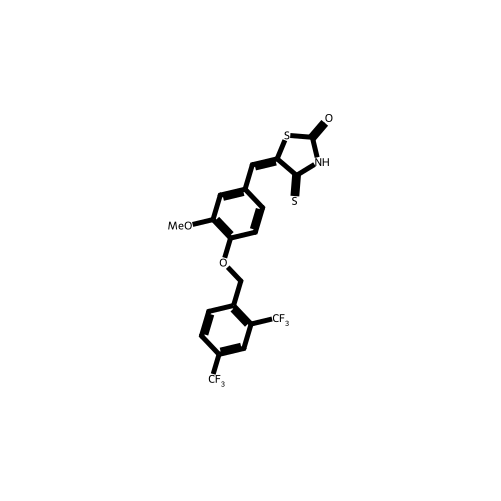 COc1cc(C=C2SC(=O)NC2=S)ccc1OCc1ccc(C(F)(F)F)cc1C(F)(F)F